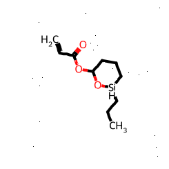 C=CC(=O)OC1CCC[SiH](CCC)O1